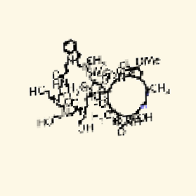 CNN(C)Cc1cc2ccccc2n1CCC(=O)NCC(=O)N(CCO)CC(=O)N(CCO)CC(=O)N(CCO)CCC(=O)N(C)[C@@H](C)C(=O)O[C@H]1CC(=O)N(C)c2cc(cc(OC)c2Cl)C/C(C)=C/C=C/[C@@H](O)[C@@]2(O)C[C@H](OC(=O)N2)[C@@H](C)C2O[C@]21C